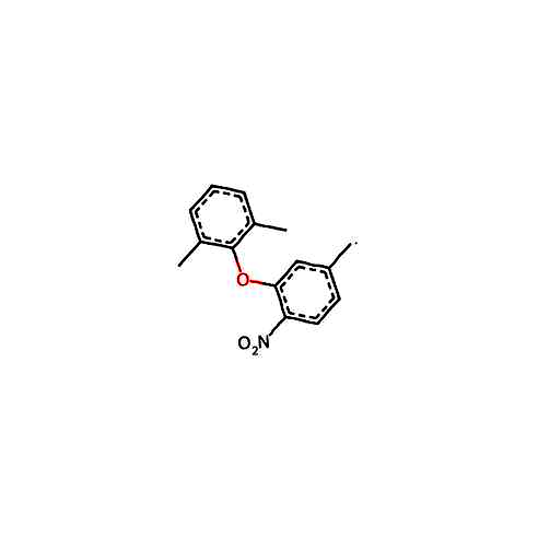 [CH2]c1ccc([N+](=O)[O-])c(Oc2c(C)cccc2C)c1